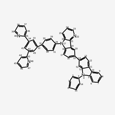 c1ccc(-n2c3ccccc3c3ccc(-c4ccc5c(c4)c4ncccc4n5-c4ccc(-c5cc(-c6ccccn6)cc(-c6ccccn6)c5)cc4)cc32)cc1